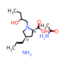 CC(N)=O.CC=C[C@@H]1C[C@H](C(=O)O)N(CC(O)CC)C1.N